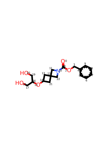 O=C(OCc1ccccc1)N1CC2(CC(OC(CO)CO)C2)C1